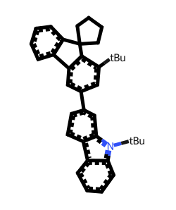 CC(C)(C)c1cc(-c2ccc3c4ccccc4n(C(C)(C)C)c3c2)cc2c1C1(CCCC1)c1ccccc1-2